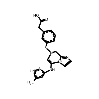 Cc1cc(NC2=CN(Sc3cccc(CC(=O)O)c3)CC3=NC=C[N+]23)n[nH]1